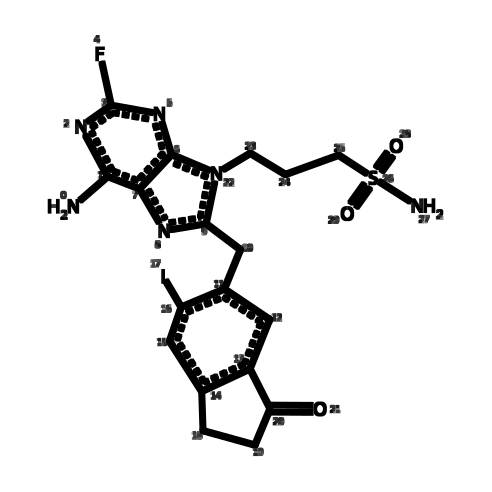 Nc1nc(F)nc2c1nc(Cc1cc3c(cc1I)CCC3=O)n2CCCS(N)(=O)=O